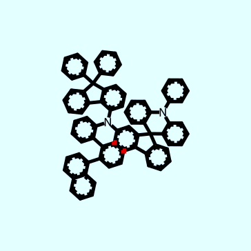 c1ccc(N2c3ccccc3C3(c4ccccc4-c4ccc(N(c5ccccc5-c5ccccc5-c5cccc6ccccc56)c5cccc6c5-c5ccccc5C6(c5ccccc5)c5ccccc5)cc43)c3ccccc32)cc1